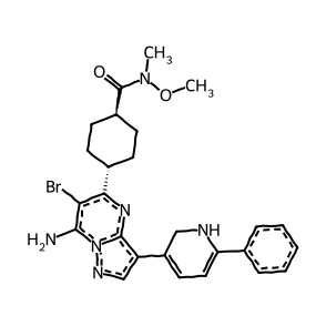 CON(C)C(=O)[C@H]1CC[C@H](c2nc3c(C4=CC=C(c5ccccc5)NC4)cnn3c(N)c2Br)CC1